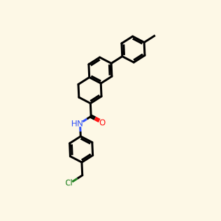 Cc1ccc(-c2ccc3c(c2)C=C(C(=O)Nc2ccc(CCl)cc2)CC3)cc1